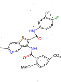 COc1ccc(C(=O)O)cc1C(=O)Nc1c(C(=O)Nc2ccc(F)c(C(F)(F)F)c2)sc2cc(C3CC3)ncc12